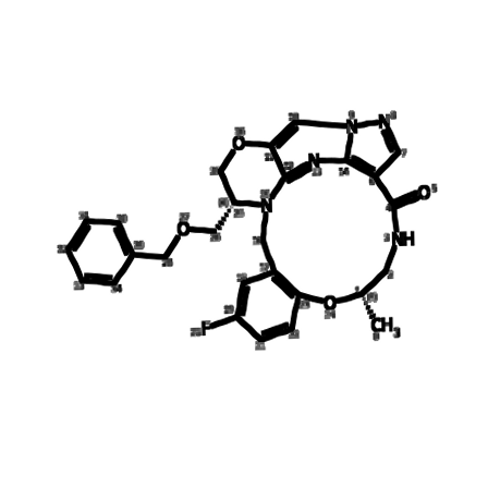 C[C@H]1CNC(=O)c2cnn3cc4c(nc23)N(Cc2cc(F)ccc2O1)[C@H](COCc1ccccc1)CO4